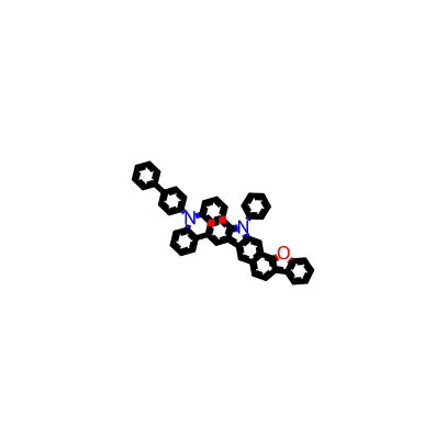 c1ccc(-c2ccc(N(c3ccccc3)c3ccccc3-c3ccc4c(c3)c3cc5ccc6c7ccccc7oc6c5cc3n4-c3ccccc3)cc2)cc1